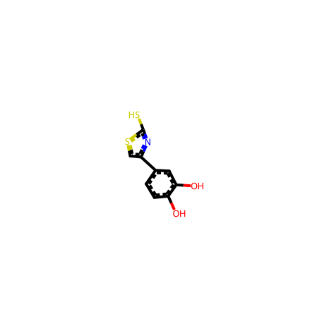 Oc1ccc(-c2csc(S)n2)cc1O